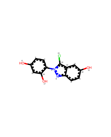 Oc1ccc(-n2nc3ccc(O)cc3c2Cl)c(O)c1